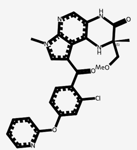 COC[C@]1(C)Nc2c(cnc3c2c(C(=O)c2ccc(Oc4ccccn4)cc2Cl)cn3C)NC1=O